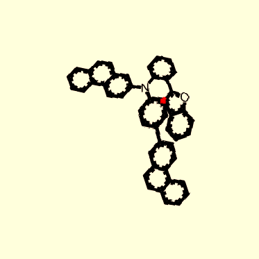 c1ccc(N(c2ccc(-c3ccc4c(ccc5ccccc54)c3)cc2)c2ccc3c(ccc4ccccc43)c2)c(-c2cc3ccccc3o2)c1